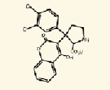 O=C(O)C1NCCC1(c1ccc(Cl)c(Cl)c1)c1c(O)c2ccccc2oc1=O